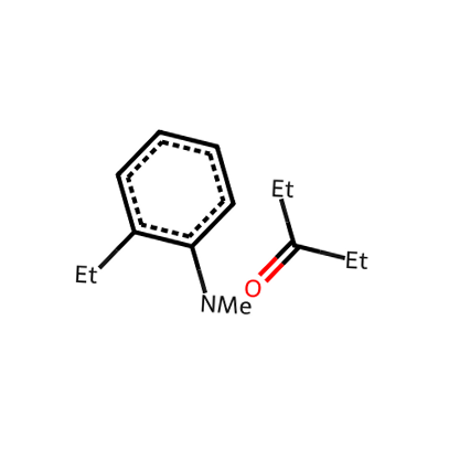 CCC(=O)CC.CCc1ccccc1NC